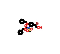 CS(=O)(=O)N(C(=O)OCc1ccccc1)c1cc(C(Br)CO)ccc1OCc1ccccc1